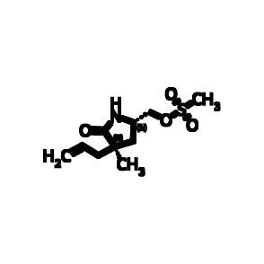 C=CC[C@]1(C)C[C@@H](COS(C)(=O)=O)NC1=O